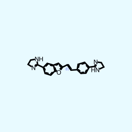 C(=C\c1cc2cc(C3=NCCN3)ccc2o1)/c1ccc(C2=NCCN2)cc1